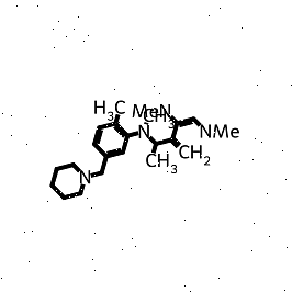 C=C(/C(=C\NC)NC)C(C)N(C)c1cc(CN2CCCCC2)ccc1C